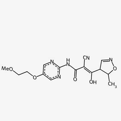 COCCOc1cnc(NC(=O)/C(C#N)=C(\O)C2C=NOC2C)nc1